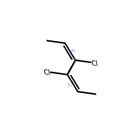 C/C=C(Cl)\C(Cl)=C/C